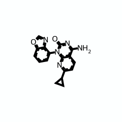 Nc1nc(=O)n(-c2cccc3ocnc23)c2nc(C3CC3)ccc12